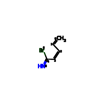 C=C/C=C\C(=N)Br